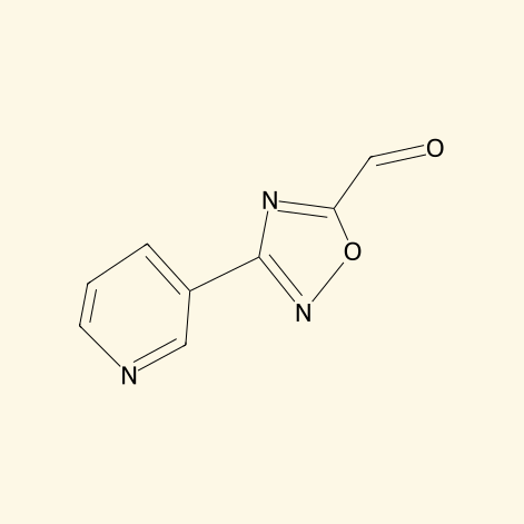 O=Cc1nc(-c2cccnc2)no1